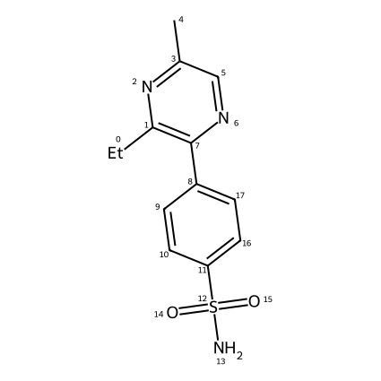 CCc1nc(C)cnc1-c1ccc(S(N)(=O)=O)cc1